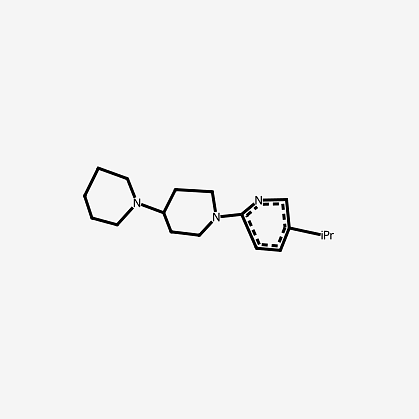 CC(C)c1ccc(N2CCC(N3CCCCC3)CC2)nc1